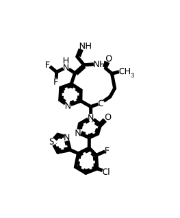 CC1CCCC(n2cnc(-c3c(-c4cscn4)ccc(Cl)c3F)cc2=O)c2cc(ccn2)/C(NC(F)F)=C(/C=N)NC1=O